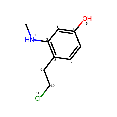 CNc1cc(O)ccc1CCCl